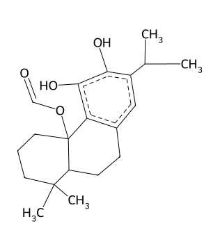 CC(C)c1cc2c(c(O)c1O)C1(OC=O)CCCC(C)(C)C1CC2